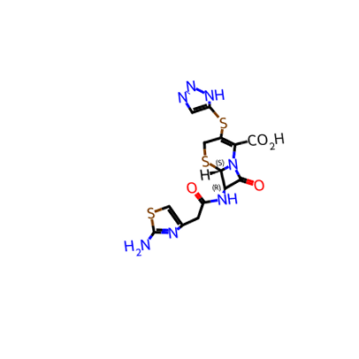 Nc1nc(CC(=O)N[C@@H]2C(=O)N3C(C(=O)O)=C(Sc4cnn[nH]4)CS[C@@H]23)cs1